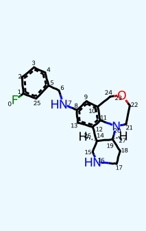 Fc1cccc(CNc2cc3c4c(c2)[C@@H]2CNCC[C@@H]2N4CCOC3)c1